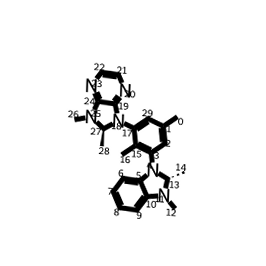 Cc1cc(N2c3ccccc3N(C)[C@H]2C)c(C)c(N2c3nccnc3N(C)[C@@H]2C)c1